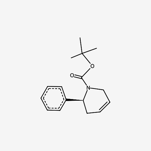 CC(C)(C)OC(=O)N1CC=CC[C@H]1c1ccccc1